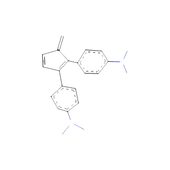 C=C1C=CC(c2ccc(N(C)C)cc2)=C1c1ccc(N(C)C)cc1